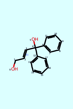 OC/C=C/C(O)(c1ccccc1)c1ccccc1